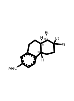 CC[C@H]1[C@@H]2CCc3cc(OC)ccc3[C@H]2CCC1(CC)CC